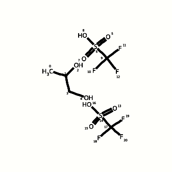 CC(O)CO.O=S(=O)(O)C(F)(F)F.O=S(=O)(O)C(F)(F)F